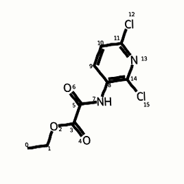 CCOC(=O)C(=O)Nc1ccc(Cl)nc1Cl